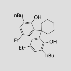 CCCCc1cc(CC)cc(C2(c3cc(CC)cc(CCCC)c3O)CCCCC2)c1O